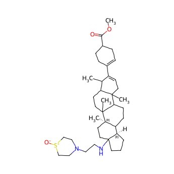 COC(=O)C1CC=C(C2=CCC3(C)C(CCC4(C)C3CCC3[C@H]5CCCC5(NCCN5CC[S+]([O-])CC5)CC[C@]34C)C2C)CC1